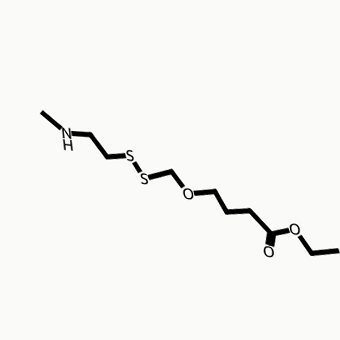 CCOC(=O)CCCOCSSCCNC